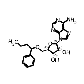 CCCC(OC[C@H]1O[C@@H](n2cnc3c(N)ncnc32)[C@H](O)[C@@H]1O)c1ccccc1